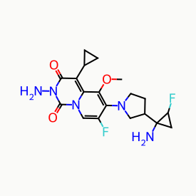 COc1c(N2CCC(C3(N)CC3F)C2)c(F)cn2c(=O)n(N)c(=O)c(C3CC3)c12